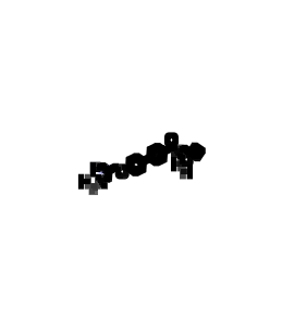 NC/C(=C\F)COc1ccc(C23CCC(C(=O)NCC4(O)CCC4)(CC2)CC3)cc1